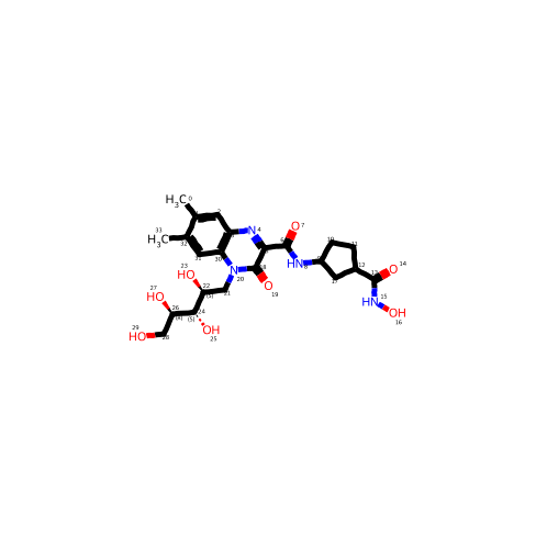 Cc1cc2nc(C(=O)NC3CCC(C(=O)NO)C3)c(=O)n(C[C@H](O)[C@H](O)[C@H](O)CO)c2cc1C